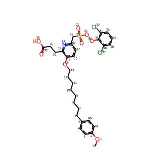 COc1ccc(CCCCCCCCOc2ccc(CS(=O)(=O)OOc3c(Cl)cccc3Cl)nc2CCC(=O)O)cc1